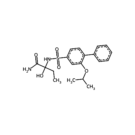 CCC(O)(NS(=O)(=O)c1ccc(-c2ccccc2)c(OC(C)C)c1)C(N)=O